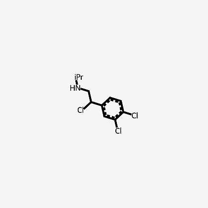 CC(C)NCC(Cl)c1ccc(Cl)c(Cl)c1